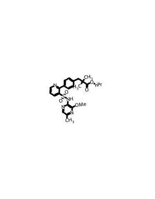 CCCOC(=O)C(C)(C)Cc1ccc(-c2ncccc2S(=O)(=O)Nc2ncc(C)nc2OC)cc1